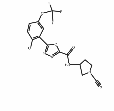 N#CN1CCC(NC(=O)c2nnc(-c3cc(OC(F)(F)F)ccc3Cl)o2)C1